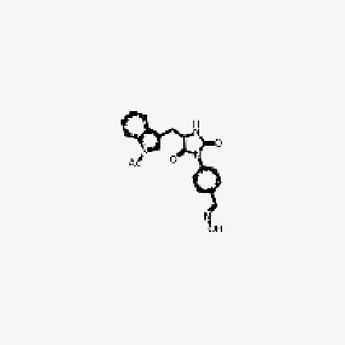 CC(=O)n1cc(CC2NC(=O)N(c3ccc(C=NO)cc3)C2=O)c2ccccc21